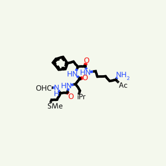 CSCCC(NC=O)C(=O)NC(CC(C)C)C(=O)NC(Cc1ccccc1)C(=O)NCCCCC(N)C(C)=O